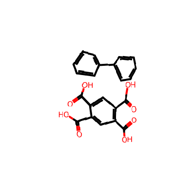 O=C(O)c1cc(C(=O)O)c(C(=O)O)cc1C(=O)O.c1ccc(-c2ccccc2)cc1